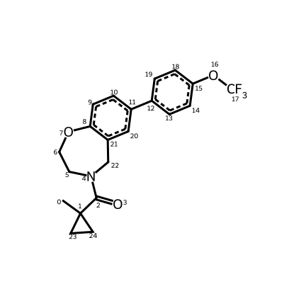 CC1(C(=O)N2CCOc3ccc(-c4ccc(OC(F)(F)F)cc4)cc3C2)CC1